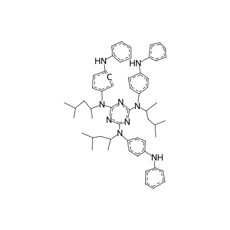 CC(C)CC(C)N(c1ccc(Nc2ccccc2)cc1)c1nc(N(c2ccc(Nc3ccccc3)cc2)C(C)CC(C)C)nc(N(c2ccc(Nc3ccccc3)cc2)C(C)CC(C)C)n1